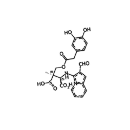 C[C@](COC(=O)Cc1ccc(O)c(O)c1)([C@@H](Nc1c(C=O)cc2ccccn12)C(=O)O)S(=O)O